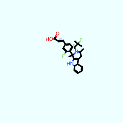 CC1CC2=C(NC3C=CC=CC23)C(C)(c2c(F)cc(/C=C/C(=O)O)cc2F)N1CC(C)(C)F